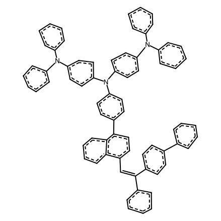 C(=C(c1ccccc1)c1ccc(-c2ccccc2)cc1)c1ccc(-c2ccc(N(c3ccc(N(c4ccccc4)c4ccccc4)cc3)c3ccc(N(c4ccccc4)c4ccccc4)cc3)cc2)c2ccccc12